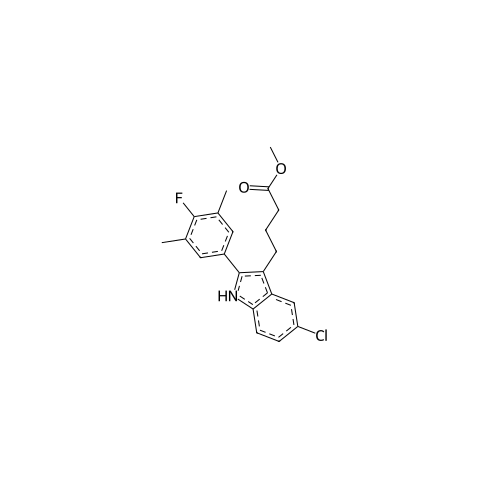 COC(=O)CCCc1c(-c2cc(C)c(F)c(C)c2)[nH]c2ccc(Cl)cc12